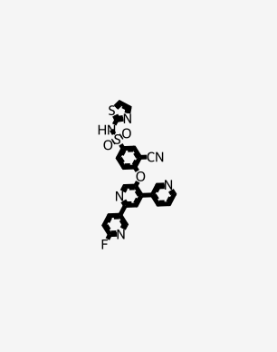 N#Cc1cc(S(=O)(=O)Nc2nccs2)ccc1Oc1cnc(-c2ccc(F)nc2)cc1-c1cccnc1